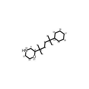 CC(C)(CCC(C)(C)C1CNCCO1)C1CCCCC1